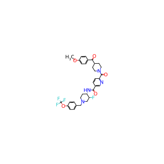 COc1ccc(C(=O)C2CCN(C(=O)c3ccc(C(=O)N[C@H]4CCN(Cc5ccc(OC(F)(F)F)cc5)C[C@@H]4F)cn3)CC2)cc1